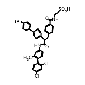 Cc1cc(NC(=O)C(Cc2ccc(C(=O)NCCS(=O)(=O)O)cc2)c2ccc(-c3ccc(C(C)(C)C)cc3)cc2)ccc1-c1ccc(Cl)cc1Cl